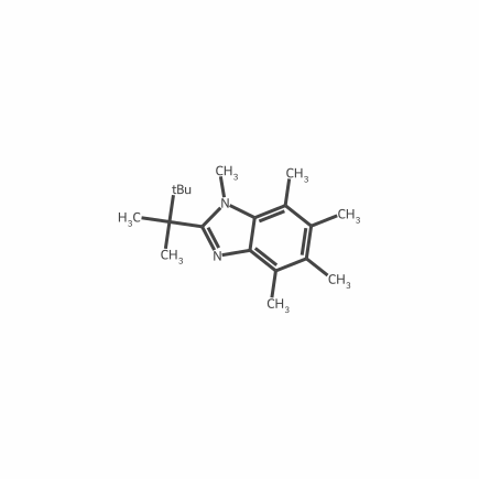 Cc1c(C)c(C)c2c(nc(C(C)(C)C(C)(C)C)n2C)c1C